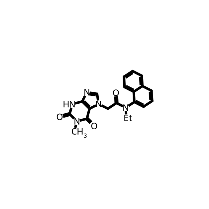 CCN(C(=O)Cn1cnc2[nH]c(=O)n(C)c(=O)c21)c1cccc2ccccc12